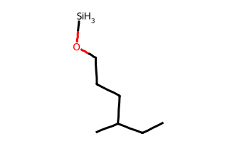 CCC(C)CCCO[SiH3]